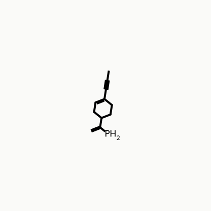 C=C(P)C1CC=C(C#CC)CC1